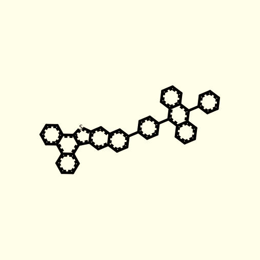 c1ccc(-c2c3ccccc3c(-c3ccc(-c4ccc5cc6c(cc5c4)sc4c5ccccc5c5ccccc5c64)cc3)c3ccccc23)cc1